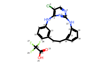 Clc1cnc2nc1Nc1cccc(c1)CCc1cccc(c1)N2.O=C(O)C(F)(F)F